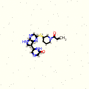 C=CC(=O)N1CCCC(Sc2cnc3[nH]cc(-c4cncc(=O)[nH]4)c3n2)C1